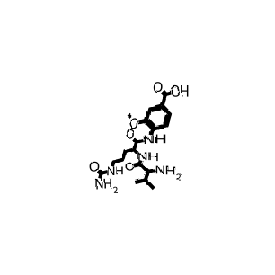 COc1cc(C(=O)O)ccc1NC(=O)C(CCCNC(N)=O)NC(=O)C(N)C(C)C